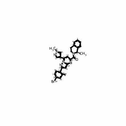 C[C@@H]1c2ccccc2CCN1C(=O)c1cc(-c2cnn(C)c2)n2nc(-c3ccc(Br)cc3F)cc2n1